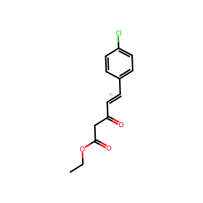 CCOC(=O)CC(=O)/C=C/c1ccc(Cl)cc1